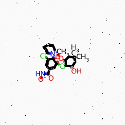 COC1([n+]2ccccc2)C(Cl)=CC(C(=O)N[O-])=CC1(Cl)O[C@@H]1C[C@@H](O)CC(C)(C)C1